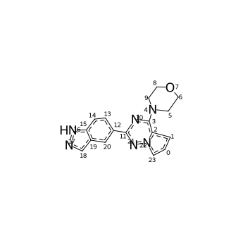 c1cc2c(N3CCOCC3)nc(-c3ccc4[nH]ncc4c3)nn2c1